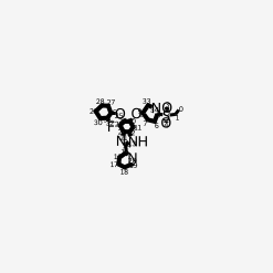 CCS(=O)(=O)c1ccc(Oc2cc3[nH]c(-c4ccccn4)nc3cc2Oc2ccccc2F)cn1